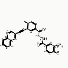 Cc1ccc(C(=O)NNC(=O)c2ccc(Cl)c(C(F)(F)F)c2)cc1C#Cc1cnc2ccccc2c1